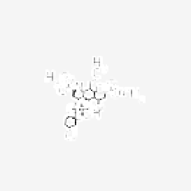 CCCc1c2nc(C(=O)OC)cc(N(Oc3ccc(Cl)cc3)S(=O)(=O)O)c2cc2c(=O)cc(C(=O)OCC)oc12